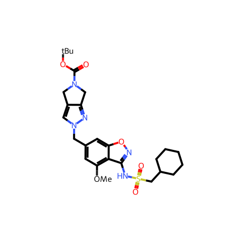 COc1cc(Cn2cc3c(n2)CN(C(=O)OC(C)(C)C)C3)cc2onc(NS(=O)(=O)CC3CCCCC3)c12